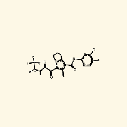 Cc1c(C(=O)Nc2ccc(F)c(Cl)c2)c2n(c1C(=O)C(=O)N[C@@H](C)C(F)(F)F)CCC2